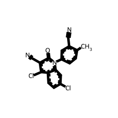 Cc1ccc(-n2c(=O)c(C#N)c(Cl)c3ccc(Cl)cc32)cc1C#N